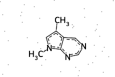 Cc1cn(C)c2ncncc12